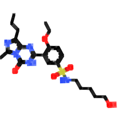 CCCc1nc(C)n2c(=O)[nH]c(-c3cc(S(=O)(=O)NCCCCCO)ccc3OCC)nc12